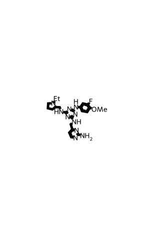 CCN1CCCC1CNc1nc(NCc2ccnc(N)n2)nc(Nc2ccc(OC)c(F)c2)n1